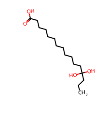 CCCC(O)(O)CCCCCCCCCCCC(=O)O